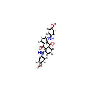 COc1ccc(Nc2cccc3c2C(=O)c2cccc(Nc4ccc(OC)cc4)c2C3=O)cc1